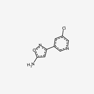 Nc1cc(-c2cncc(Cl)c2)no1